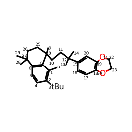 Cc1c(C(C)(C)C)ccc2c1C(C)(CCC(C)(C)c1ccc3c(c1)OCCO3)CCC2(C)C